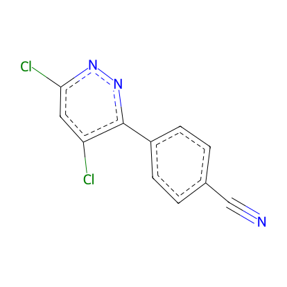 N#Cc1ccc(-c2nnc(Cl)cc2Cl)cc1